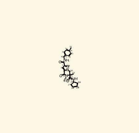 CCN1C(=O)c2cc(C(=O)NCc3ccc(C)cc3)nn2CC1(C)C(=O)NC1CCCC1